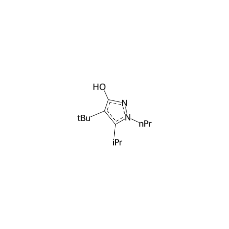 CCCn1nc(O)c(C(C)(C)C)c1C(C)C